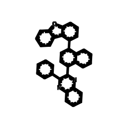 c1ccc(-c2nc3ccccc3nc2-c2ccc(-c3cccc4oc5ccccc5c34)c3ccccc23)cc1